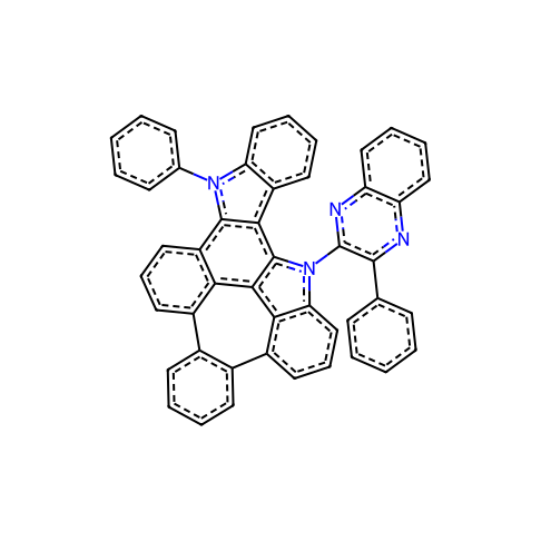 c1ccc(-c2nc3ccccc3nc2-n2c3cccc4c3c3c5c(cccc5c5c(c6ccccc6n5-c5ccccc5)c32)-c2ccccc2-4)cc1